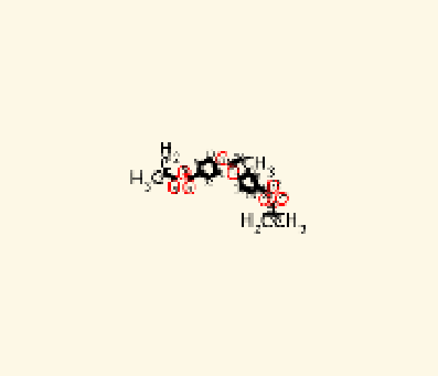 C=C(C)C(=O)OC(=O)c1ccc(OC(CC)Oc2ccc(C(=O)OC(=O)C(=C)C)cc2)cc1